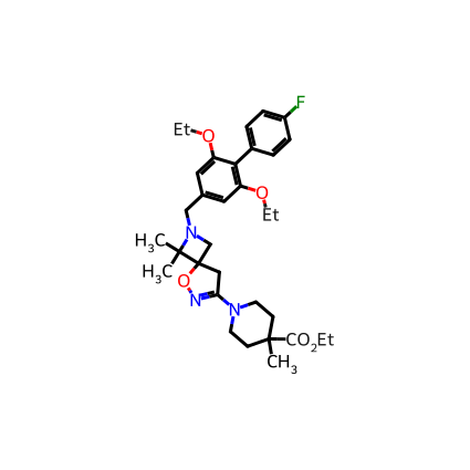 CCOC(=O)C1(C)CCN(C2=NOC3(C2)CN(Cc2cc(OCC)c(-c4ccc(F)cc4)c(OCC)c2)C3(C)C)CC1